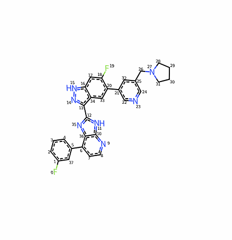 Fc1cccc(-c2ccnc3[nH]c(-c4n[nH]c5cc(F)c(-c6cncc(CN7CCCC7)c6)cc45)nc23)c1